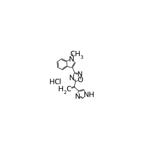 C=C(c1c[nH]cn1)c1nc(-c2cn(C)c3ccccc23)no1.Cl